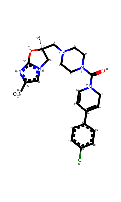 C[C@]1(CN2CCN(C(=O)N3C=CC(c4ccc(Cl)cc4)=CC3)CC2)Cn2cc([N+](=O)[O-])nc2O1